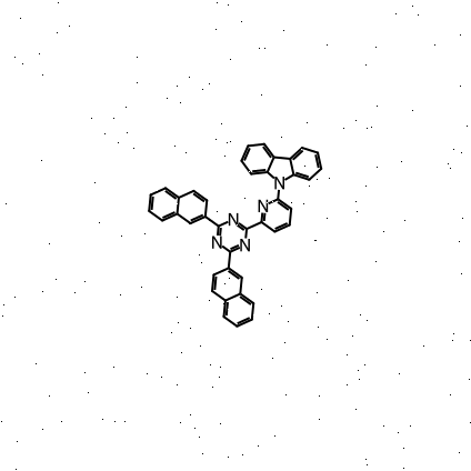 c1cc(-c2nc(-c3ccc4ccccc4c3)nc(-c3ccc4ccccc4c3)n2)nc(-n2c3ccccc3c3ccccc32)c1